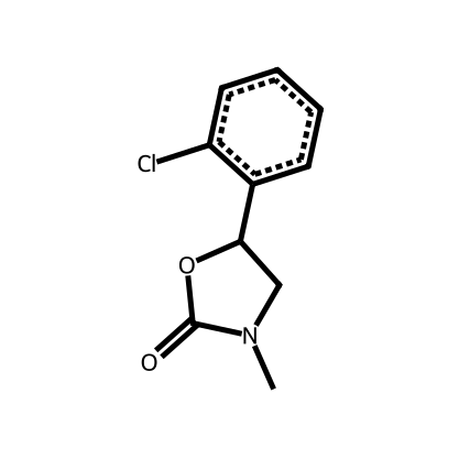 CN1CC(c2ccccc2Cl)OC1=O